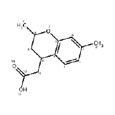 Cc1ccc2c(c1)OC(C)CC2CC(=O)O